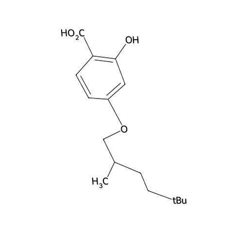 CC(CCC(C)(C)C)COc1ccc(C(=O)O)c(O)c1